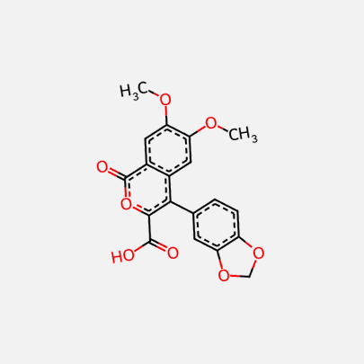 COc1cc2c(-c3ccc4c(c3)OCO4)c(C(=O)O)oc(=O)c2cc1OC